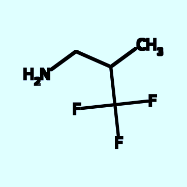 CC(CN)C(F)(F)F